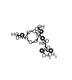 C=Cc1ccccc1N(Cc1ccccc1C)C(=O)CCNC(=O)c1ccc(C(c2cccc(C(=O)O)n2)N2CCOCCOCCN(Cc3cccc(C(=O)O)n3)CCOCCOCC2)cc1